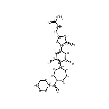 CC(=O)NC[C@H]1CN(c2cc(F)c(N3CCON(C(=O)N4CCOCC4)CC3)c(F)c2)C(=O)O1